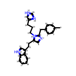 Cc1ccc(Cc2ncc(CCc3c[nH]c4ccccc34)n2CCCc2c[nH]cn2)cc1